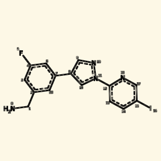 NCc1cc(F)cc(-c2cnn(-c3ccc(I)cn3)c2)c1